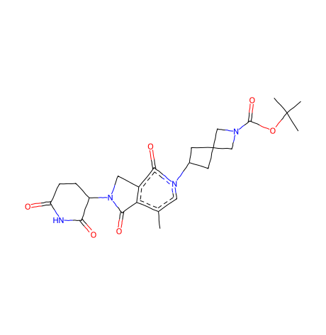 Cc1cn(C2CC3(C2)CN(C(=O)OC(C)(C)C)C3)c(=O)c2c1C(=O)N(C1CCC(=O)NC1=O)C2